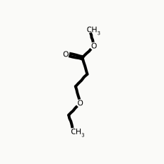 CCOCCC(=O)OC